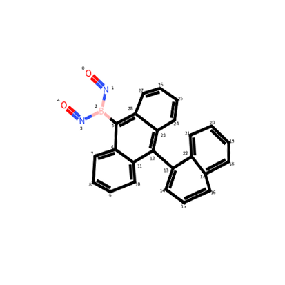 O=NB(N=O)c1c2ccccc2c(-c2cccc3ccccc23)c2ccccc12